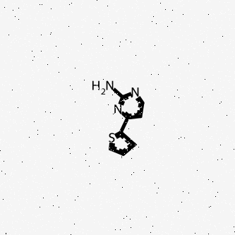 Nc1nccc(-c2cccs2)n1